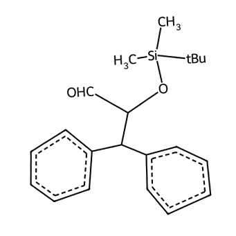 CC(C)(C)[Si](C)(C)OC(C=O)C(c1ccccc1)c1ccccc1